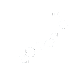 Cc1cccc(-c2nc3cc(S(=O)(=O)c4ccc5oc(C)nc5c4)ccc3o2)c1